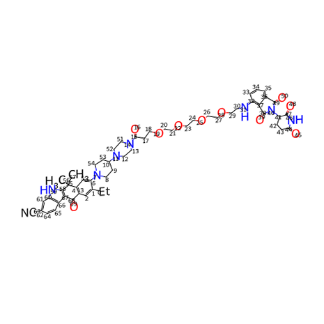 CCc1cc2c(cc1N1CCC(N3CCN(C(=O)CCOCCOCCOCCOCCNc4cccc5c4C(=O)N(C4CCC(=O)NC4=O)C5=O)CC3)CC1)C(C)(C)c1[nH]c3cc(C#N)ccc3c1C2=O